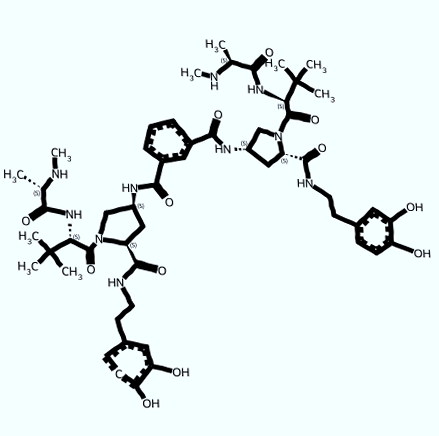 CN[C@@H](C)C(=O)N[C@H](C(=O)N1C[C@@H](NC(=O)c2cccc(C(=O)N[C@H]3C[C@@H](C(=O)NCCc4ccc(O)c(O)c4)N(C(=O)[C@@H](NC(=O)[C@H](C)NC)C(C)(C)C)C3)c2)C[C@H]1C(=O)NCCc1ccc(O)c(O)c1)C(C)(C)C